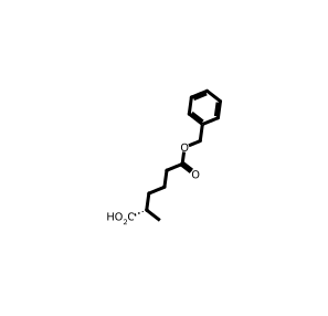 C[C@@H](CCCC(=O)OCc1ccccc1)C(=O)O